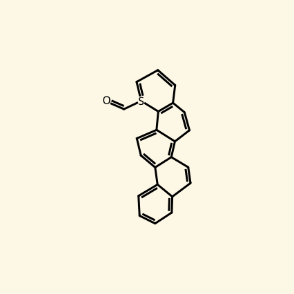 O=CS1=CC=Cc2ccc3c(ccc4c5ccccc5ccc34)c21